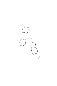 O=Cc1ccc2oc(CN3c4ccccc4Sc4ccccc43)cc2c1